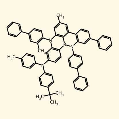 Cc1ccc(N(c2ccc(C(C)(C)C)cc2)c2ccc3c(c2)N(c2ccc(-c4ccccc4)cc2C)c2cc(C)cc4c2B3N(c2ccc(-c3ccccc3)cc2)c2cc(-c3ccccc3)ccc2-4)cc1